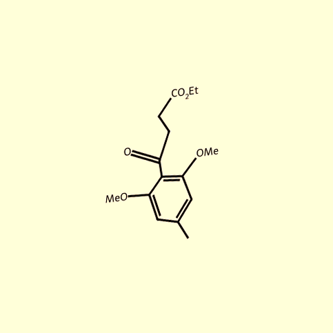 CCOC(=O)CCC(=O)c1c(OC)cc(C)cc1OC